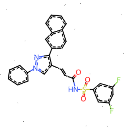 O=C(/C=C/c1cn(-c2ccccc2)nc1-c1ccc2ccccc2c1)NS(=O)(=O)c1cc(F)cc(F)c1